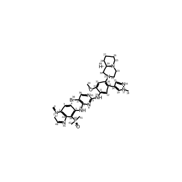 C=Nc1ccc(Nc2nc(Nc3cc(-c4cnn(C)c4)c(N4CCN5CCCC[C@@H]5C4)cc3OC)ncc2Br)c(P(C)(C)=O)c1/N=C\C